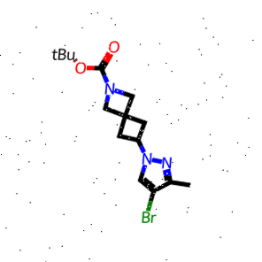 Cc1nn(C2CC3(C2)CN(C(=O)OC(C)(C)C)C3)cc1Br